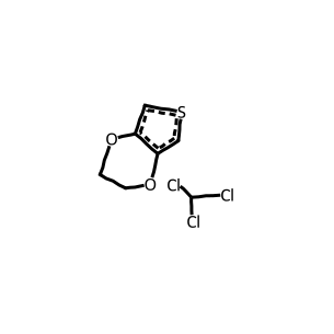 ClC(Cl)Cl.c1scc2c1OCCO2